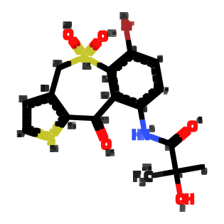 CC(O)(C(=O)Nc1ccc(Br)c2c1C(=O)c1sccc1CS2(=O)=O)C(F)(F)F